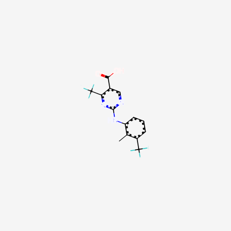 Cc1c(Nc2ncc(C(=O)O)c(C(F)(F)F)n2)cccc1C(F)(F)F